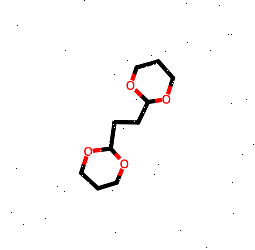 C1COC(CCC2OCCCO2)OC1